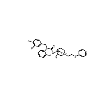 O=C(O[C@H]1C[N+]2(CCSc3ccccc3)CCC1CC2)N(Cc1ccc(F)c(F)c1)c1ccccc1F